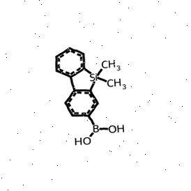 C[Si]1(C)c2ccccc2-c2ccc(B(O)O)cc21